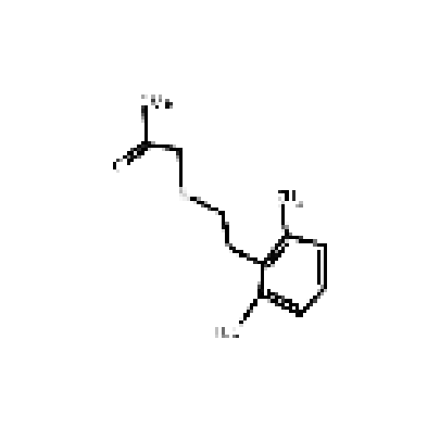 COC(=O)CNCCc1c(C)cccc1C